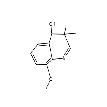 COc1cccc2c1N=CC(C)(C)C2O